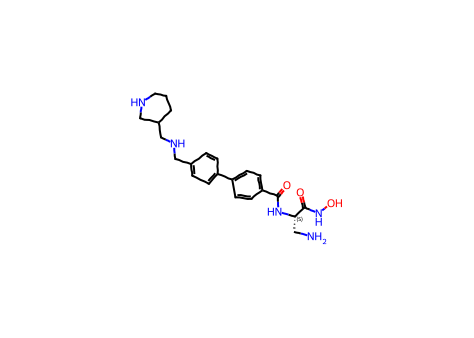 NC[C@H](NC(=O)c1ccc(-c2ccc(CNCC3CCCNC3)cc2)cc1)C(=O)NO